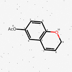 CC(=O)Oc1ccc2c(c1)C=CCO2